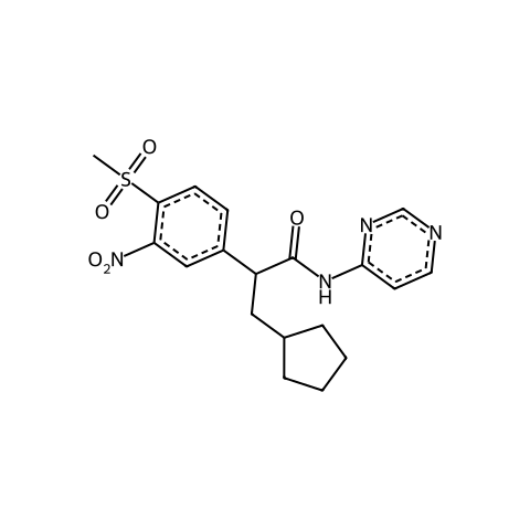 CS(=O)(=O)c1ccc(C(CC2CCCC2)C(=O)Nc2ccncn2)cc1[N+](=O)[O-]